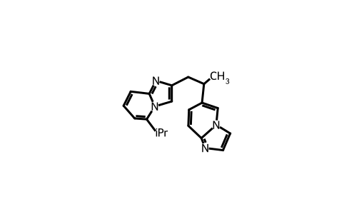 CC(C)c1cccc2nc(CC(C)c3ccc4nccn4c3)cn12